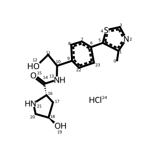 Cc1ncsc1-c1ccc(C(CO)NC(=O)[C@@H]2C[C@@H](O)CN2)cc1.Cl